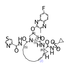 Cc1nc2ccc(F)cc2nc1O[C@@H]1C[C@H]2C(=O)N[C@]3(C(=O)NS(=O)(=O)C4CC4)C[C@H]3/C=C\CCCCC[C@H](NC(=O)c3cscn3)C(=O)N2C1